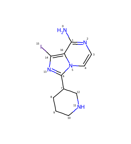 Nc1nccn2c(C3CCCNC3)nc(I)c12